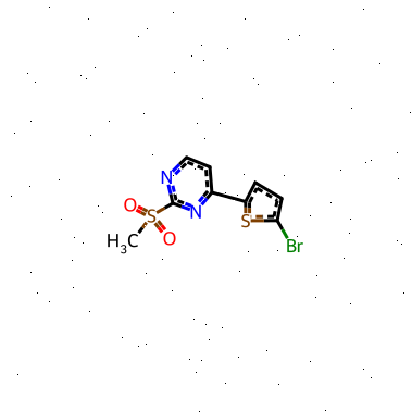 CS(=O)(=O)c1nccc(-c2ccc(Br)s2)n1